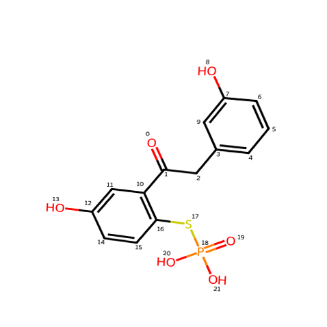 O=C(Cc1cccc(O)c1)c1cc(O)ccc1SP(=O)(O)O